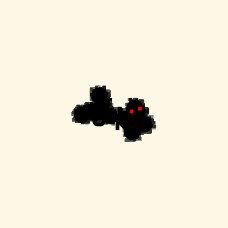 O=P(c1ccc(-c2nc(-c3ccccc3)c3c(n2)-c2ccccc2C3(c2ccccc2)c2ccccc2)cc1)(c1ccc2ccccc2c1)c1ccc2ccccc2c1